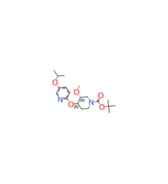 CO[C@@H]1CN(C(=O)OC(C)(C)C)CC[C@H]1Oc1ccc(OC(C)C)cn1